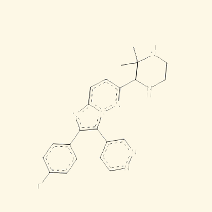 CC1(C)NCCNC1c1ccc2nc(-c3ccc(F)cc3)c(-c3ccnnc3)n2n1